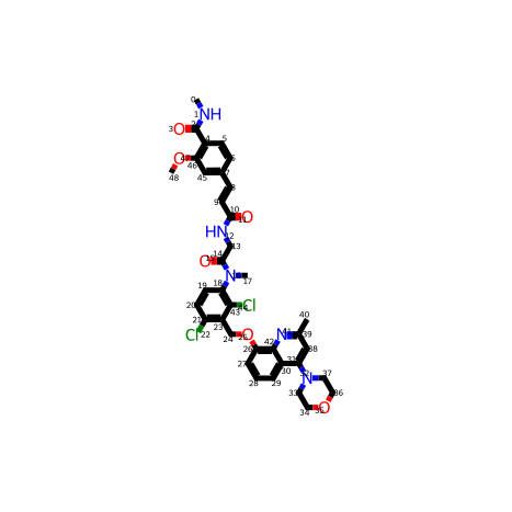 CNC(=O)c1ccc(C=CC(=O)NCC(=O)N(C)c2ccc(Cl)c(COc3cccc4c(N5CCOCC5)cc(C)nc34)c2Cl)cc1OC